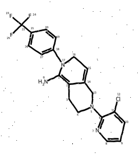 NC1=C2CCN(c3ncccc3Cl)CC2=CCN1c1ccc(C(F)(F)F)cc1